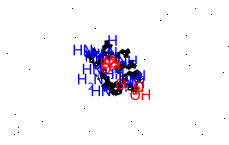 CC(C)C[C@H](NC(=O)[C@H](CC(C)C)NC(=O)[C@H](CC(C)C)NC(=O)[C@H](CC1=CNCN1)NC(=O)[C@@H](N)Cc1c[nH]c2ccccc12)C(=O)N[C@@H](Cc1cnc[nH]1)C(=O)N[C@@H](C)C(=O)O